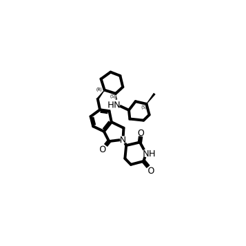 C[C@H]1CCCC(N[C@H]2CCCC[C@@H]2Cc2ccc3c(c2)CN(C2CCC(=O)NC2=O)C3=O)C1